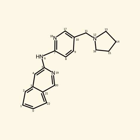 c1ccc2cc(Nc3ccc(CN4CCCC4)cn3)ncc2c1